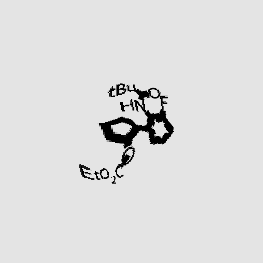 CCOC(=O)OC1=C(c2cccc(F)c2NC(=O)C(C)(C)C)CCC1